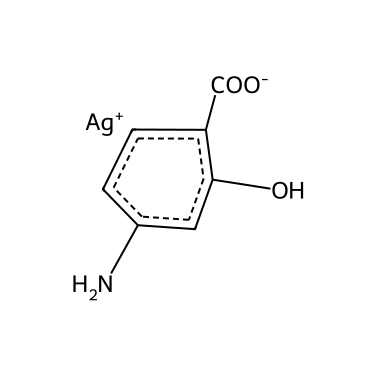 Nc1ccc(C(=O)[O-])c(O)c1.[Ag+]